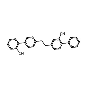 N#Cc1ccccc1-c1ccc(CCc2ccc(-c3ccccc3)c(C#N)c2)cc1